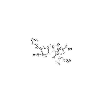 COCCOc1cc(C[C@@H](C[C@H](NC(=O)OC(C)(C)C)[C@@H](O)C[C@@H](C)C(=O)O)C(C)C)ccc1OC